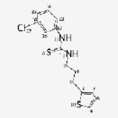 S=C(NCCCc1cccs1)Nc1cccc(Cl)c1